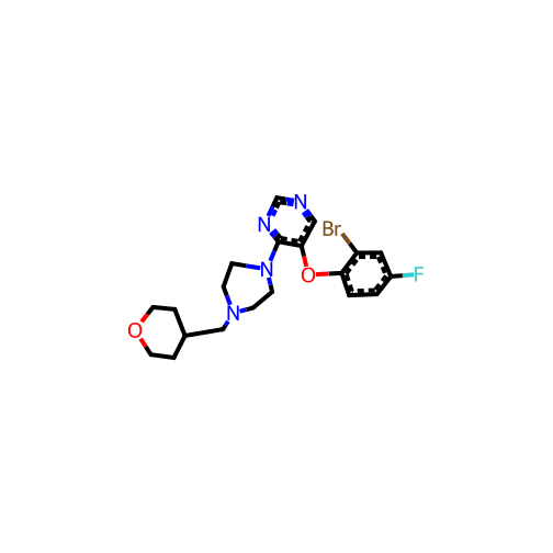 Fc1ccc(Oc2cncnc2N2CCN(CC3CCOCC3)CC2)c(Br)c1